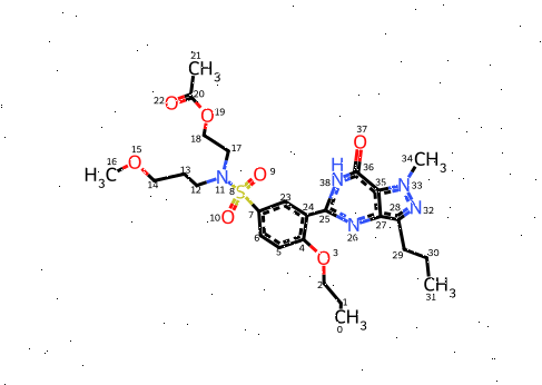 CCCOc1ccc(S(=O)(=O)N(CCCOC)CCOC(C)=O)cc1-c1nc2c(CCC)nn(C)c2c(=O)[nH]1